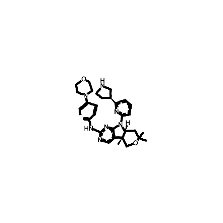 C=C(/C=C\C(=C/C)N1CCOCC1)Nc1ncc2c(n1)N(c1cccc([C@H]3CCNC3)n1)[C@@H]1CC(C)(C)OC[C@]21C